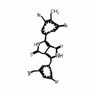 Cc1c(Br)cc(C2=C3C(=O)NC(c4cc(Br)cc(Br)c4)=C3C(=O)N2)cc1Br